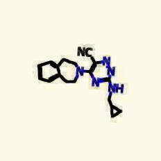 N#Cc1nnc(NCC2CC2)nc1N1CCc2ccccc2CC1